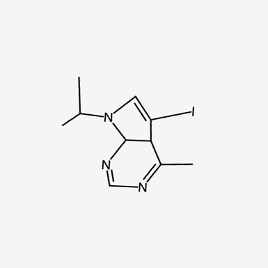 CC1=NC=NC2C1C(I)=CN2C(C)C